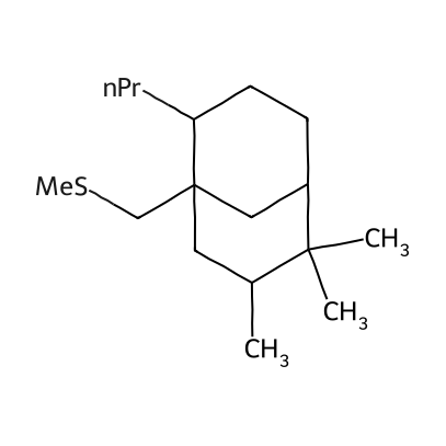 CCCC1CCC2CC1(CSC)CC(C)C2(C)C